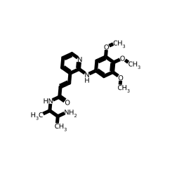 COc1cc(Nc2ncccc2/C=C/C(=O)NC(C)C(C)N)cc(OC)c1OC